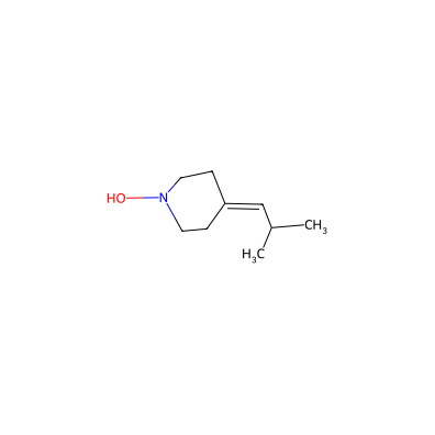 CC(C)C=C1CCN(O)CC1